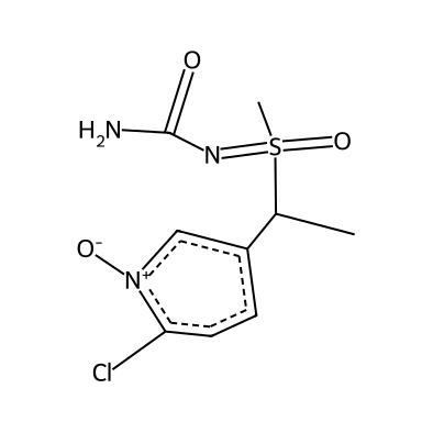 CC(c1ccc(Cl)[n+]([O-])c1)S(C)(=O)=NC(N)=O